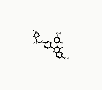 CC1=C(c2ccc(O)cc2F)C(c2ccc(OC[C@H](C)N3CC[C@@H](C)C3)cc2)Oc2ccc(O)cc21